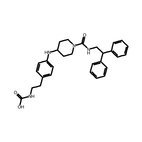 O=C(O)NCCc1ccc(NC2CCN(C(=O)NCC(c3ccccc3)c3ccccc3)CC2)cc1